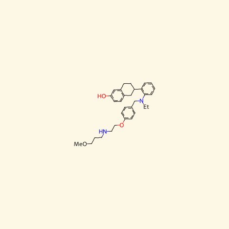 CCN(Cc1ccc(OCCNCCCOC)cc1)c1ccccc1C1CCc2cc(O)ccc2C1